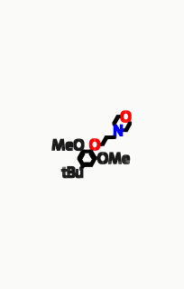 COc1cc(C(C)(C)C)cc(OC)c1OCCCN1CCOCC1